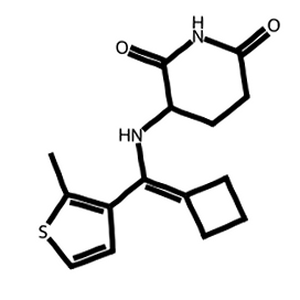 Cc1sccc1C(NC1CCC(=O)NC1=O)=C1CCC1